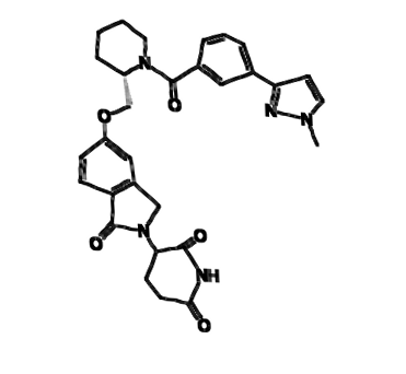 Cn1ccc(-c2cccc(C(=O)N3CCCC[C@H]3COc3ccc4c(c3)CN(C3CCC(=O)NC3=O)C4=O)c2)n1